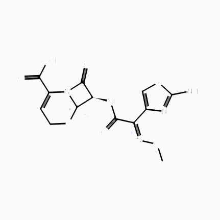 CO/N=C(/C(=O)N[C@@H]1C(=O)N2C(C(=O)O)=CCS[C@H]12)c1csc(N)n1